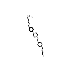 CCCCCCc1ccc([C@H]2CC[C@H](CC[C@H]3CC[C@H](CC/C=C/F)CC3)CC2)cc1